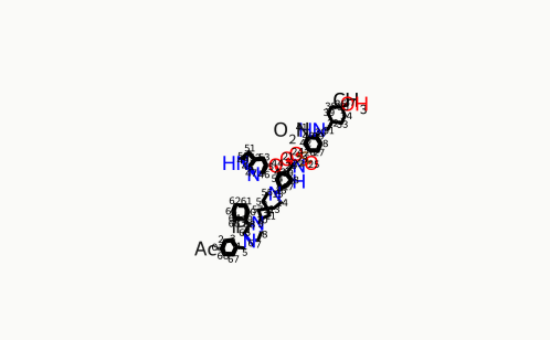 CC(=O)c1ccc(CN2CCN(C3CC4(CCN(c5ccc(C(=O)NS(=O)(=O)c6ccc(NCC7CCC(C)(O)CC7)c([N+](=O)[O-])c6)c(Oc6cnc7[nH]ccc7c6)c5)CC4)C3)C(c3ccccc3C(C)C)C2)cc1